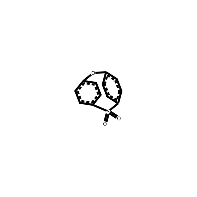 O=S1(=O)c2ccc(cc2)Oc2ccc1cc2